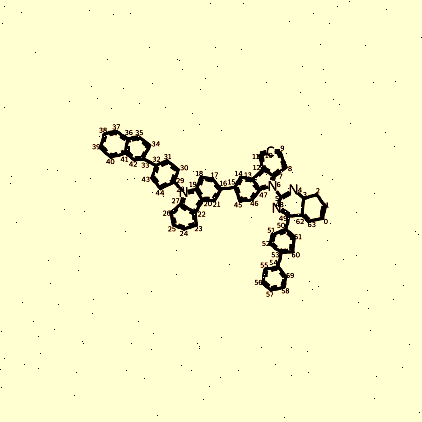 C1=CCC2N=C(n3c4ccccc4c4cc(-c5ccc6c(c5)c5ccccc5n6-c5ccc(-c6ccc7ccccc7c6)cc5)ccc43)N=C(c3ccc(-c4ccccc4)cc3)C2=C1